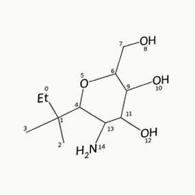 CCC(C)(C)C1OC(CO)C(O)C(O)C1N